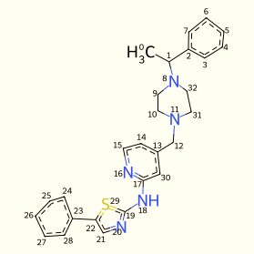 CC(c1ccccc1)N1CCN(Cc2ccnc(Nc3ncc(-c4ccccc4)s3)c2)CC1